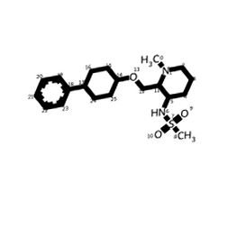 CN1CCCC(NS(C)(=O)=O)C1COC1CCC(c2ccccc2)CC1